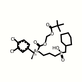 C[C@@H](c1ccc(Cl)c(Cl)c1)[As](CCCP(=O)(O)CC1CCCCC1)C(=O)OCOC(=O)C(C)(C)C